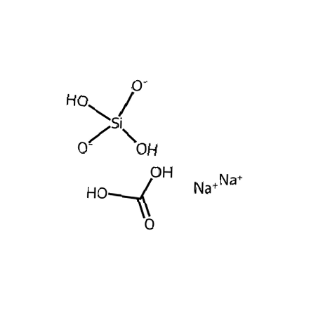 O=C(O)O.[Na+].[Na+].[O-][Si]([O-])(O)O